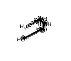 CCOCCOCCNC(=O)CCC(NC(=O)CCC(NC(=O)CCC(NC(=O)CCCCCCCCCCCCCCCCC(=O)O)C(=O)O)C(=O)O)C(=O)O